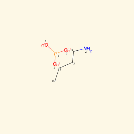 CCCCN.OP(O)O